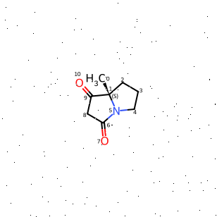 C[C@@]12CCCN1C(=O)CC2=O